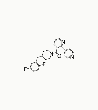 O=C(c1cccnc1-c1ccncc1)N1CCC(Cc2cc(F)ccc2F)CC1